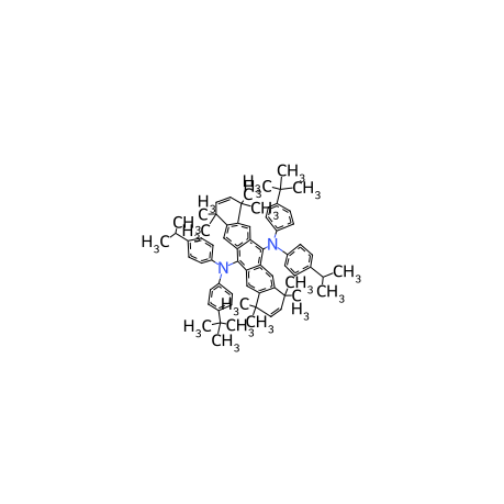 CC(C)c1ccc(N(c2ccc(C(C)(C)C)cc2)c2c3cc4c(cc3c(N(c3ccc(C(C)C)cc3)c3ccc(C(C)(C)C)cc3)c3cc5c(cc23)C(C)(C)C=CC5(C)C)C(C)(C)C=CC4(C)C)cc1